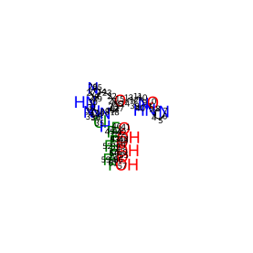 O=C(Nc1cccnc1)N1CCC(CCOc2ccc3cc2CCc2cncc(c2)Nc2ncc(Cl)c(n2)N3)CC1.O=C(O)C(F)(F)F.O=C(O)C(F)(F)F.O=C(O)C(F)(F)F